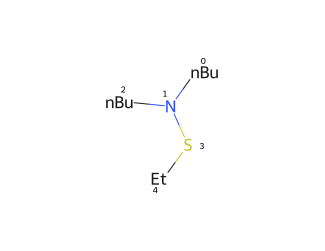 CCCCN(CCCC)SCC